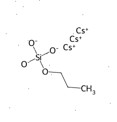 CCCO[Si]([O-])([O-])[O-].[Cs+].[Cs+].[Cs+]